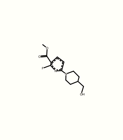 COC(=O)c1ccc(N2CCC(CO)CC2)nc1F